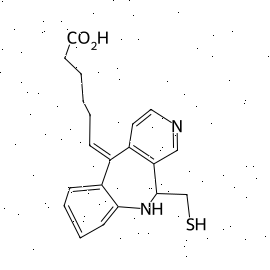 O=C(O)CCCCC=C1c2ccccc2NC(CS)c2cnccc21